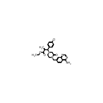 C=C(C(=O)OCC)C(c1ccc(Cl)cc1)N1CCN(Cc2ccc3c(N)ncnc3c2)C(=O)C1